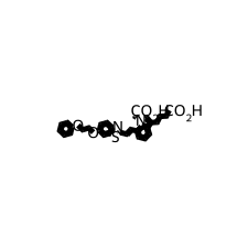 O=C(O)CCCc1cn(CC(=O)O)c2c(C=Cc3nc4ccc(OCCOc5ccccc5)cc4s3)cccc12